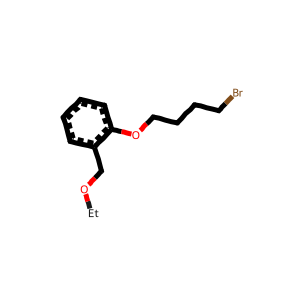 CCOCc1ccccc1OCCCCBr